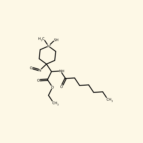 CCCCCCC(=O)NC(C(=O)OCC)C1(N=O)CC[N+](C)(S)CC1